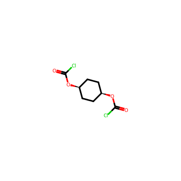 O=C(Cl)O[C@H]1CC[C@@H](OC(=O)Cl)CC1